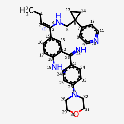 CC/C=C(\NCC1(c2ccncc2)CC1)c1ccc(N)c(C(=N)c2ccc(N3CCOCC3)cc2)c1